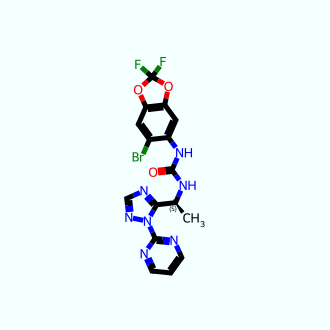 C[C@H](NC(=O)Nc1cc2c(cc1Br)OC(F)(F)O2)c1ncnn1-c1ncccn1